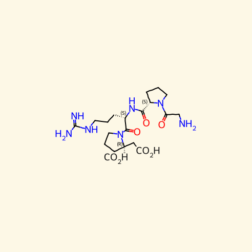 N=C(N)NCCC[C@H](NC(=O)[C@@H]1CCCN1C(=O)CN)C(=O)N1CCC[C@@]1(CC(=O)O)C(=O)O